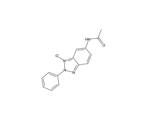 CC(=O)Nc1ccc2nn(-c3ccccc3)[n+]([O-])c2c1